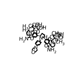 CN(C(=O)O)[C@H](C(=O)N1CCC[C@@]1(C(N)=O)c1ccc([C@H]2CC[C@H](c3ccc([C@]4(C(N)=O)CCCN4C(=O)[C@@H](N(C)C(=O)O)C(C)(C)C)cc3)N2c2ccc(N3CCOCC3)cc2)cc1)C(C)(C)C